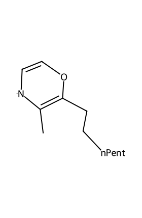 CCCCCCCC1=C(C)[N]C=CO1